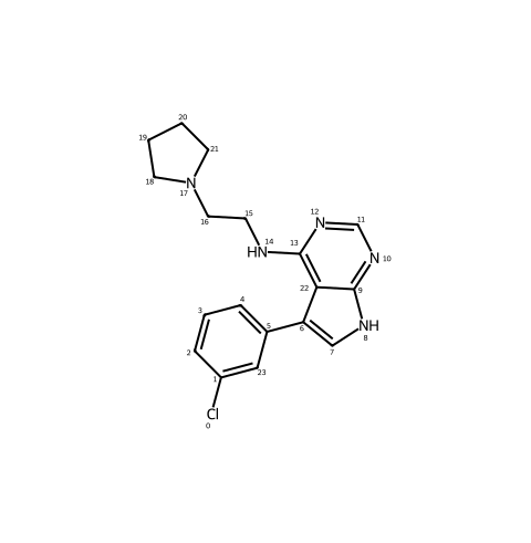 Clc1cccc(-c2c[nH]c3ncnc(NCCN4CCCC4)c23)c1